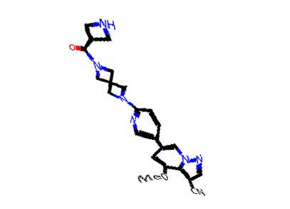 COc1cc(-c2ccc(N3CC4(CN(C(=O)C5CNC5)C4)C3)nc2)cn2ncc(C#N)c12